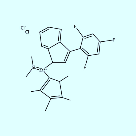 CC1=C(C)C(C)[C]([Zr+2]([CH]2C=C(c3c(F)cc(F)cc3F)c3ccccc32)=[Si](C)C)=C1C.[Cl-].[Cl-]